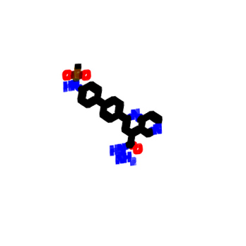 CS(=O)(=O)Nc1ccc(-c2ccc(-c3cc(C(=O)NN)c4cnccc4n3)cc2)cc1